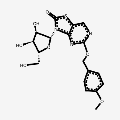 COc1ccc(COc2ncc3sc(=O)n([C@@H]4O[C@H](CO)[C@@H](O)[C@H]4O)c3n2)cc1